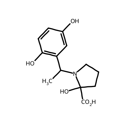 CC(c1cc(O)ccc1O)N1CCCC1(O)C(=O)O